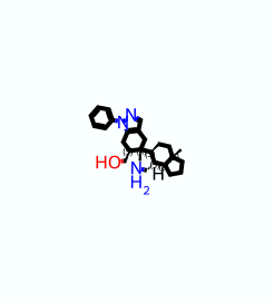 C[C@@]12CCC[C@H]1[C@H](CN)[C@@H]([C@@]1(C)Cc3cnn(-c4ccccc4)c3C[C@@H]1CO)CC2